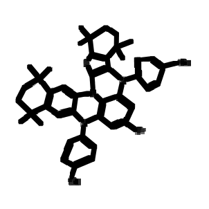 CC(C)c1cc2c3c(c1)N(c1ccc(C(C)(C)C)cc1)c1c(sc4c1C(C)(C)CCC4(C)C)B3c1cc3c(cc1N2c1ccc(C(C)(C)C)cc1)C(C)(C)CCC3(C)C